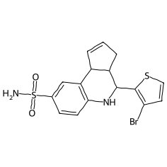 NS(=O)(=O)c1ccc2c(c1)C1C=CCC1C(c1sccc1Br)N2